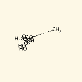 CCCCCCCCCCCCCCCCCCOC(=O)CC(O)(CC(=O)OCC(O)CO)C(=O)OC(C)=O